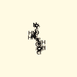 O=C(CCc1cccnc1)Nc1cc(C2CC(NC(=O)Cc3ccc(Cl)cc3Cl)C2)[nH]n1